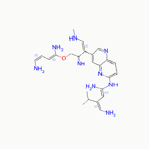 CN/C=C(\C(=N)CO/C(N)=C/C=C\N)c1cnc2ccc(N/C(N)=C/C(=C\N)C(C)C)nc2c1